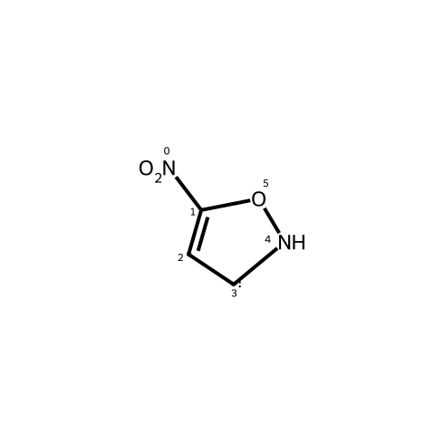 O=[N+]([O-])C1=C[C]NO1